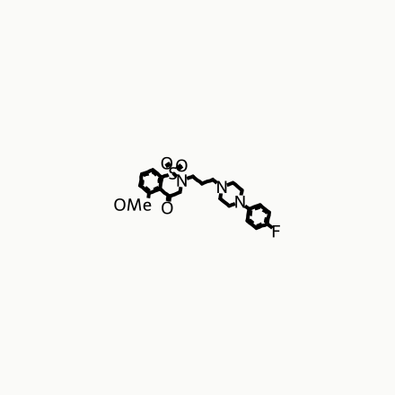 COc1cccc2c1C(=O)CN(CCCN1CCN(c3ccc(F)cc3)CC1)S2(=O)=O